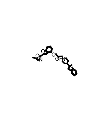 Cc1cnc(-c2cc3c(OC[C@@H](O)CN4CCC(c5cc6ccccc6s5)CC4)cccc3o2)o1